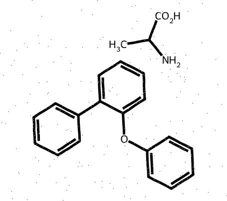 CC(N)C(=O)O.c1ccc(Oc2ccccc2-c2ccccc2)cc1